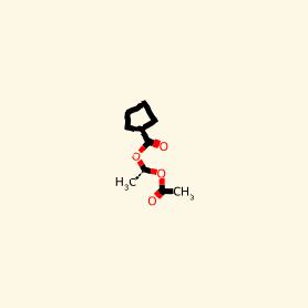 CC(=O)O[C@H](C)OC(=O)C1CCCC1